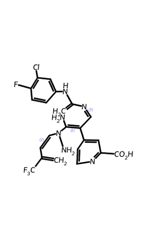 C=C(/N=C\C(=C(/N)N(N)/C=C\C(=C)C(F)(F)F)c1ccnc(C(=O)O)c1)Nc1ccc(F)c(Cl)c1